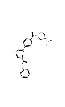 CN(C)C1CCN(C(=O)c2ccc(-c3cncc(C(=O)Nc4ccccc4)n3)cc2)C1